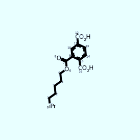 CC(C)CCCCCOC(=O)c1cc(C(=O)O)ccc1C(=O)O